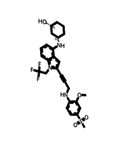 COc1cc(S(C)(=O)=O)ccc1NCC#Cc1cc2c(N[C@H]3CCC[C@@H](O)C3)cccc2n1CC(F)(F)F